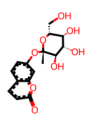 C[C@@]1(Oc2ccc3ccc(=O)oc3c2)O[C@H](CO)[C@H](O)[C@H](O)[C@H]1O